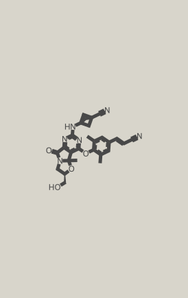 Cc1cc(/C=C/C#N)cc(C)c1Oc1nc(NC23CC(C#N)(C2)C3)nc2c1C1(C)O[C@@H](CO)CN1C2=O